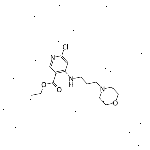 CCOC(=O)c1cnc(Cl)cc1NCCCN1CCOCC1